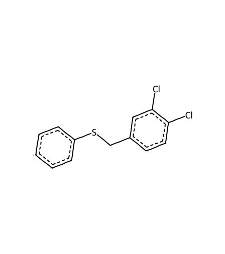 Clc1ccc(CSc2cc[c]cc2)cc1Cl